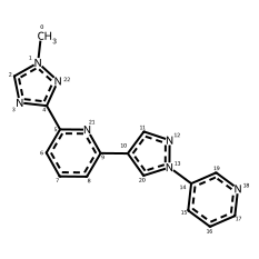 Cn1cnc(-c2cccc(-c3cnn(-c4cccnc4)c3)n2)n1